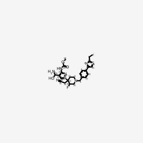 CCc1nc(-c2ccc(CN3CCC(CC#N)(n4cc(C(N)O)c(NC(=O)OC)n4)C(F)C3)cc2)cs1